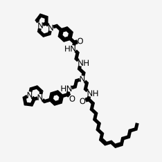 CCCCC/C=C\C/C=C\CCCCCCCC(=O)NCCN(CCNCCNC(=O)c1ccc(CN2CCCN3CCCC32)cc1)CCNC(=O)c1ccc(CN2CCCN3CCCC32)cc1